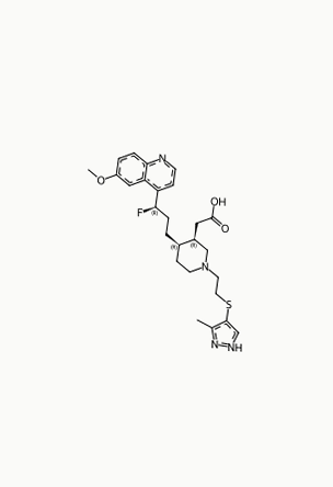 COc1ccc2nccc([C@H](F)CC[C@@H]3CCN(CCSc4c[nH]nc4C)C[C@@H]3CC(=O)O)c2c1